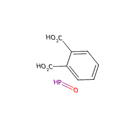 O=C(O)c1ccccc1C(=O)O.O=P